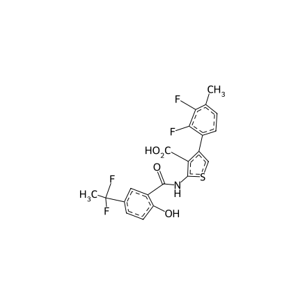 Cc1ccc(-c2csc(NC(=O)c3cc(C(C)(F)F)ccc3O)c2C(=O)O)c(F)c1F